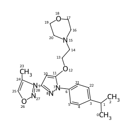 CC(C)c1ccc(-n2nccc2OCCN2CCOCC2)cc1.Cc1conn1